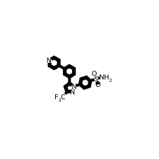 NS(=O)(=O)c1ccc(-n2nc(C(F)(F)F)cc2-c2cccc(-c3ccncc3)c2)cc1